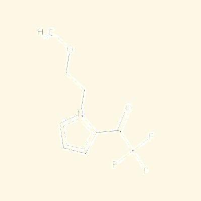 COCCn1cccc1C(=O)C(F)(F)F